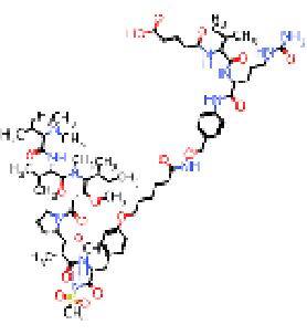 CC[C@H](C)[C@@H]([C@@H](CC(=O)N1CCC[C@H]1[C@H](OC)[C@@H](C)C(=O)N[C@@H](Cc1ccc(OCCCCCC(=O)NOCc2ccc(NC(=O)[C@H](CCCNC(N)=O)NC(=O)C(NC(=O)CCCC(=O)O)C(C)C)cc2)cc1)C(=O)NS(C)(=O)=O)OC)N(C)C(=O)[C@@H](NC(=O)C(C(C)C)N(C)C)C(C)C